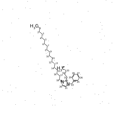 CCCCCCCCCCCCCCCCCCCN1C=CN(Cc2ccccc2)C1CCCC